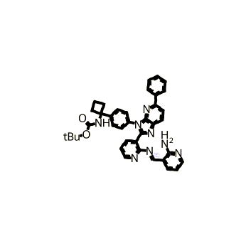 CC(C)(C)OC(=O)NC1(c2ccc(-n3c(-c4cccnc4/N=C/c4cccnc4N)nc4ccc(-c5ccccc5)nc43)cc2)CCC1